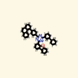 c1ccc(-c2cccc(-c3nc(-c4ccc(-c5cccc6ccc7ccccc7c56)cc4)nc(-c4cccc5c4oc4ccccc45)n3)c2)cc1